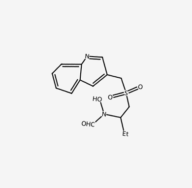 CCC(CS(=O)(=O)Cc1cnc2ccccc2c1)N(O)C=O